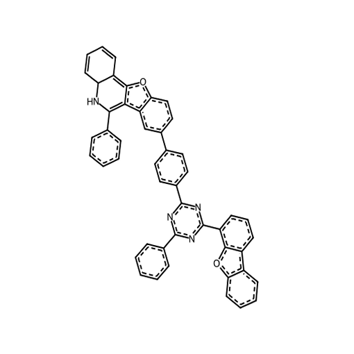 C1=CC2=c3oc4ccc(-c5ccc(-c6nc(-c7ccccc7)nc(-c7cccc8c7oc7ccccc78)n6)cc5)cc4c3=C(c3ccccc3)NC2C=C1